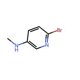 CNc1ccc(Br)nc1